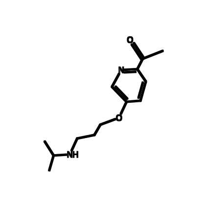 CC(=O)c1ccc(OCCCNC(C)C)cn1